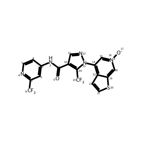 O=C(Nc1ccnc(C(F)(F)F)c1)c1cnn(-c2c[n+]([O-])cc3sccc23)c1C(F)(F)F